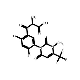 CC(C(=O)O)C(=O)c1cc(-n2c(=O)cc(C(F)(F)F)n(C)c2=O)c(F)cc1Cl